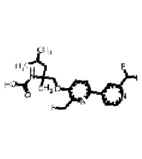 CC(C)CC(C)(COc1ccc(-c2ccnc(C(F)F)c2)nc1CF)NC(=O)O